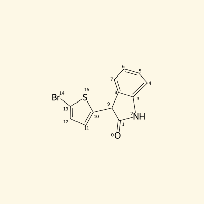 O=C1Nc2ccccc2C1c1ccc(Br)s1